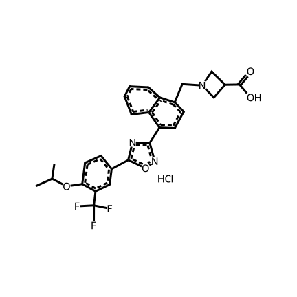 CC(C)Oc1ccc(-c2nc(-c3ccc(CN4CC(C(=O)O)C4)c4ccccc34)no2)cc1C(F)(F)F.Cl